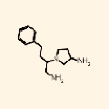 NCC(CCc1ccccc1)N1CCC(N)C1